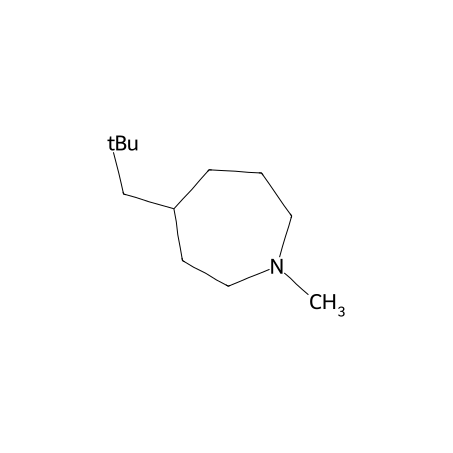 CN1CCCC(CC(C)(C)C)CC1